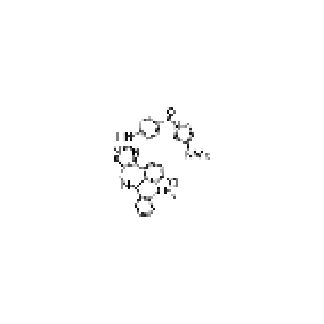 CNc1ccn(C(=O)c2ccc(Nc3ncc4c(n3)-c3ccc(Cl)cc3C(c3ccccc3C(F)(F)F)=NC4)cc2)c1